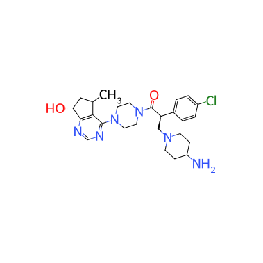 CC1C[C@@H](O)c2ncnc(N3CCN(C(=O)[C@H](CN4CCC(N)CC4)c4ccc(Cl)cc4)CC3)c21